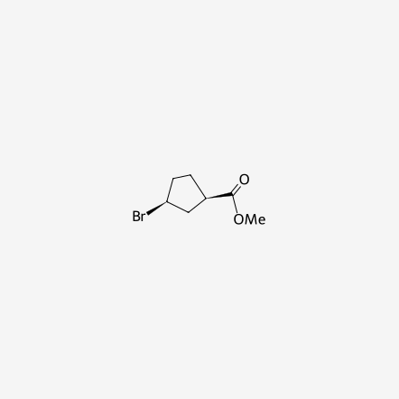 COC(=O)[C@@H]1CC[C@H](Br)C1